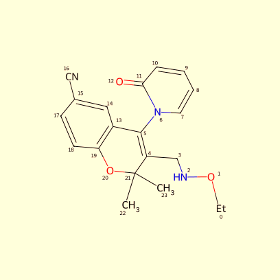 CCONCC1=C(n2ccccc2=O)c2cc(C#N)ccc2OC1(C)C